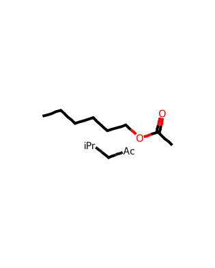 CC(=O)CC(C)C.CCCCCCOC(C)=O